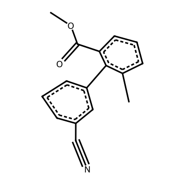 COC(=O)c1cccc(C)c1-c1cccc(C#N)c1